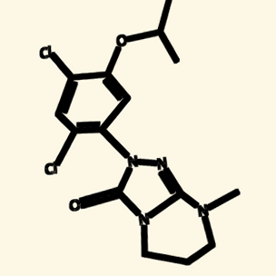 CC(C)Oc1cc(-n2nc3n(c2=O)CCCN3C)c(Cl)cc1Cl